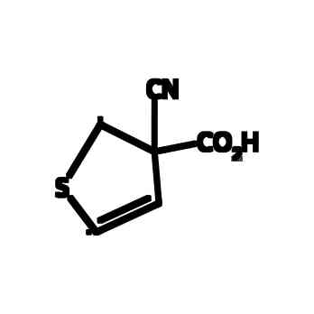 N#CC1(C(=O)O)[CH]S[C]=C1